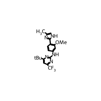 COc1cc(Nc2nc(C(C)(C)C)cc(C(F)(F)F)n2)ccc1-c1nc(C)c[nH]1